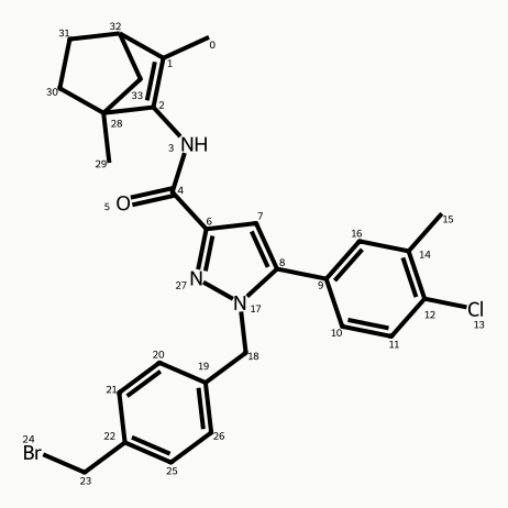 CC1=C(NC(=O)c2cc(-c3ccc(Cl)c(C)c3)n(Cc3ccc(CBr)cc3)n2)C2(C)CCC1C2